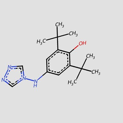 CC(C)(C)c1cc(Nn2cnnc2)cc(C(C)(C)C)c1O